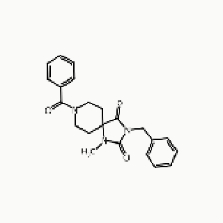 CN1C(=O)N(Cc2ccccc2)C(=O)C12CCN(C(=O)c1ccccc1)CC2